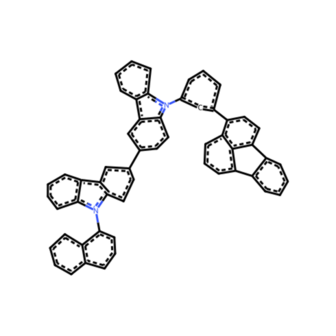 c1cc(-c2ccc3c4c(cccc24)-c2ccccc2-3)cc(-n2c3ccccc3c3cc(-c4ccc5c(c4)c4ccccc4n5-c4cccc5ccccc45)ccc32)c1